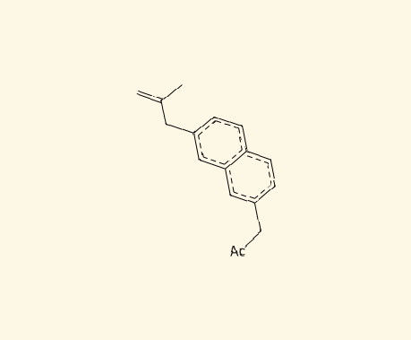 C=C(C)Cc1ccc2ccc(CC(C)=O)cc2c1